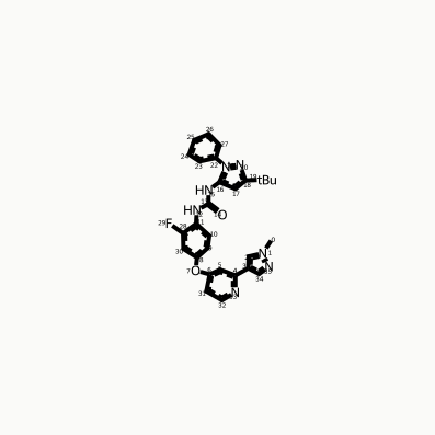 Cn1cc(-c2cc(Oc3ccc(NC(=O)Nc4cc(C(C)(C)C)nn4-c4ccccc4)c(F)c3)ccn2)cn1